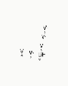 [LiH].[V].[V].[V].[V].[V]